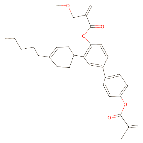 C=C(C)C(=O)Oc1ccc(-c2ccc(OC(=O)C(=C)COC)c(C3CC=C(CCCCC)CC3)c2)cc1